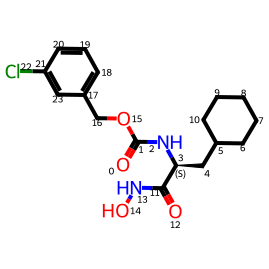 O=C(N[C@@H](CC1CCCCC1)C(=O)NO)OCc1cccc(Cl)c1